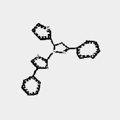 c1ccc(C2=NN(c3nc(-c4ccccc4)cs3)C(c3cccs3)C2)cc1